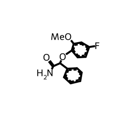 COc1cc(F)ccc1OC(C(N)=O)c1ccccc1